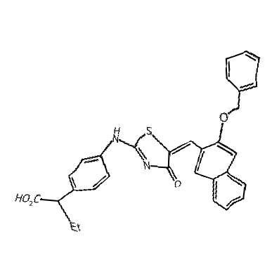 CCC(C(=O)O)c1ccc(NC2=NC(=O)C(=Cc3cc4ccccc4cc3OCc3ccccc3)S2)cc1